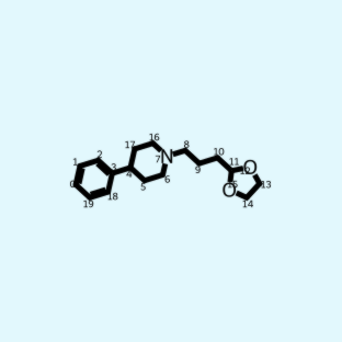 c1ccc(C2CCN(CCCC3OCCO3)CC2)cc1